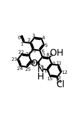 C=Cc1cccc(-c2c(O)c3ccc(Cl)cc3[nH]c2=O)c1-c1ccccc1